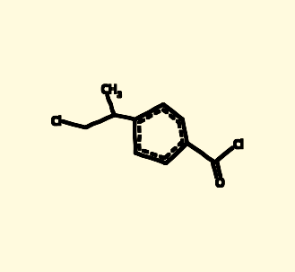 CC(CCl)c1ccc(C(=O)Cl)cc1